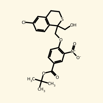 CC(C)(C)OC(=O)c1ccc(OCC2(CO)SCCc3cc(Cl)ccc32)c([N+](=O)[O-])c1